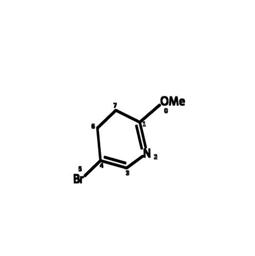 COC1=NC=C(Br)CC1